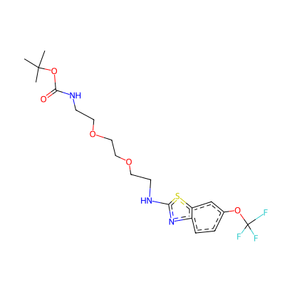 CC(C)(C)OC(=O)NCCOCCOCCNc1nc2ccc(OC(F)(F)F)cc2s1